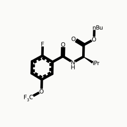 CCCCOC(=O)[C@H](NC(=O)c1cc(OC(F)(F)F)ccc1F)C(C)C